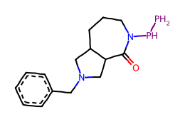 O=C1C2CN(Cc3ccccc3)CC2CCCN1PP